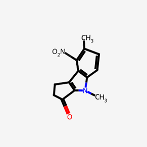 Cc1ccc2c(c3c(n2C)C(=O)CC3)c1[N+](=O)[O-]